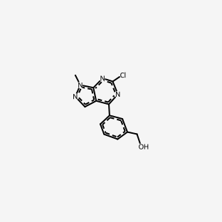 Cn1ncc2c(-c3cccc(CO)c3)nc(Cl)nc21